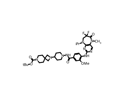 COc1cc(C(=O)NN2CCC(N3CC4(CCN(C(=O)OC(C)(C)C)CC4)C3)CC2)ccc1Nc1ncc2c(n1)N(C(C)C)CC(F)(F)C(=O)N2C